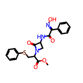 COC(=O)C(CSc1ccccc1)N1CC(NC(=O)C(=NO)c2ccccc2)C1=O